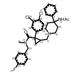 CC(=O)NC1(c2ccccc2)CCN(CC2CC2(C(=O)N(C)Cc2ccc(F)cc2)c2ccc(Cl)c(Cl)c2)CC1